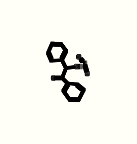 O=C(c1ccccc1)C(O)c1ccccc1.[O]=[Ti]=[O]